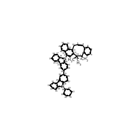 C=C1c2ccccc2/C=C\Cc2c(cc(-n3c4ccccc4c4cc(-c5ccc6c(c5)c5ccccc5n6-c5ccccc5)ccc43)c3ccccc23)C1(C)C